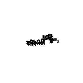 CC(C)(C)OC(=O)Nc1nc(CC(=O)Nc2ccc(CC[C@](O)(COC(N)=O)c3ccccc3)cc2)cs1